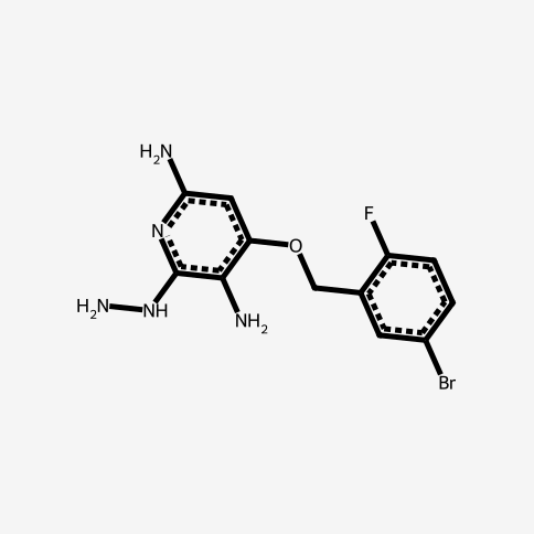 NNc1nc(N)cc(OCc2cc(Br)ccc2F)c1N